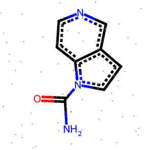 NC(=O)n1ccc2cnccc21